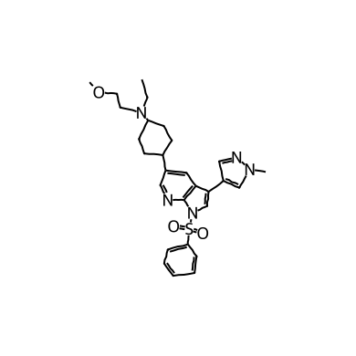 CCN(CCOC)C1CCC(c2cnc3c(c2)c(-c2cnn(C)c2)cn3S(=O)(=O)c2ccccc2)CC1